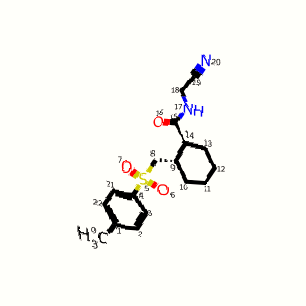 Cc1ccc(S(=O)(=O)C[C@H]2CCCC[C@@H]2C(=O)NCC#N)cc1